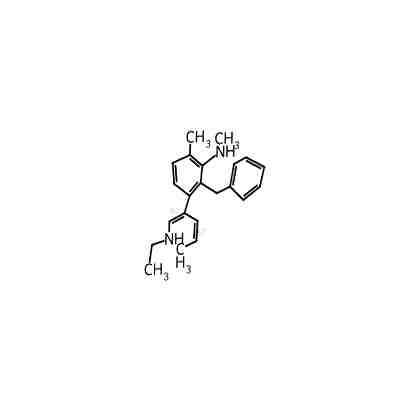 C/C=C\C(=C/NCC)c1ccc(C)c(NC)c1Cc1ccccc1